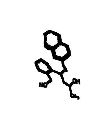 CC(O)CC(Sc1ccc2ccccc2c1)c1ccccc1CO